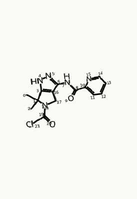 CC1(C)c2[nH]nc(NC(=O)c3ccccn3)c2CN1C(=O)Cl